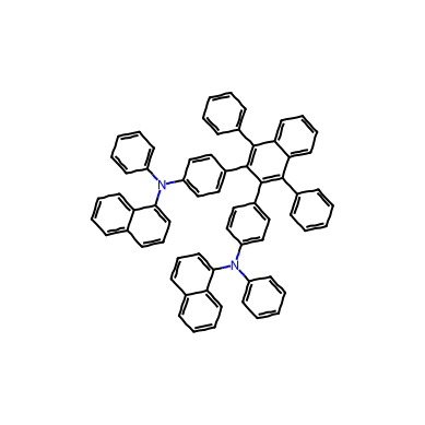 c1ccc(-c2c(-c3ccc(N(c4ccccc4)c4cccc5ccccc45)cc3)c(-c3ccc(N(c4ccccc4)c4cccc5ccccc45)cc3)c(-c3ccccc3)c3ccccc23)cc1